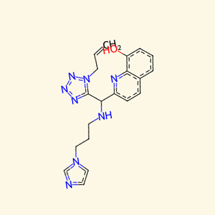 C=CCn1nnnc1C(NCCCn1ccnc1)c1ccc2cccc(O)c2n1